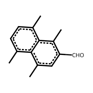 Cc1ccc(C)c2c(C)c(C=O)cc(C)c12